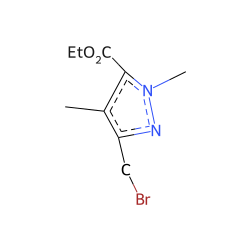 CCOC(=O)c1c(C)c(CBr)nn1C